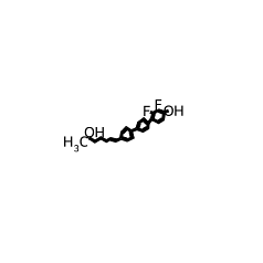 CC(O)CCCC=Cc1ccc(-c2ccc(-c3ccc(O)c(F)c3F)cc2)cc1